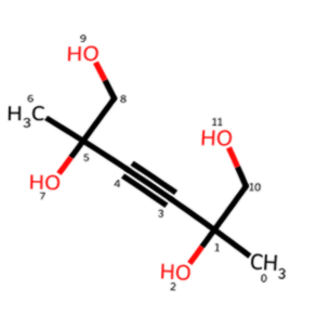 CC(O)(C#CC(C)(O)CO)CO